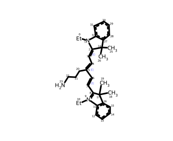 CCN1/C(=C/C=C(/C=C/C2=[N+](CC)c3ccccc3C2(C)C)CCCN)C(C)(C)c2ccccc21